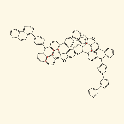 c1ccc(-c2cccc(-c3ccc(N(c4ccc(-c5cccc6c5ccc5ccccc56)cc4)c4ccccc4-c4ccc5c(c4)oc4ccc(-c6ccc(-c7ccc(N(c8ccc(-c9cccc%10c9ccc9ccccc9%10)cc8)c8ccccc8-c8ccc9c(c8)oc8ccccc89)c(-c8ccccc8)c7)cc6)cc45)cc3)c2)cc1